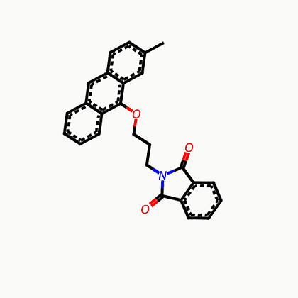 Cc1ccc2cc3ccccc3c(OCCCN3C(=O)c4ccccc4C3=O)c2c1